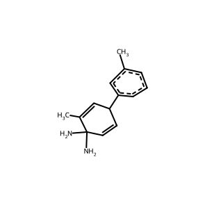 CC1=CC(c2cccc(C)c2)C=CC1(N)N